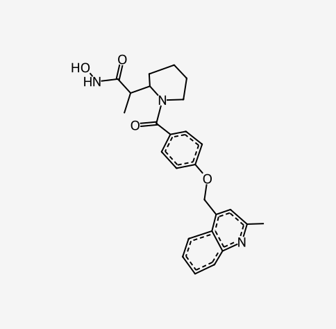 Cc1cc(COc2ccc(C(=O)N3CCCCC3C(C)C(=O)NO)cc2)c2ccccc2n1